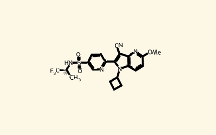 COc1ccc2c(n1)c(C#N)c(-c1ccc(S(=O)(=O)N[C@@H](C)C(F)(F)F)cn1)n2C1CCC1